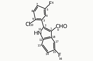 O=Cc1c(-c2cc(F)ccc2Cl)[nH]c2ccc(F)cc12